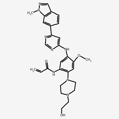 C=CC(=O)Nc1cc(Nc2cc(-c3ccc4cnn(C)c4c3)ncn2)c(OC)cc1N1CCN(CCO)CC1